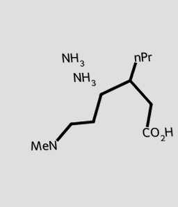 CCCC(CCCNC)CC(=O)O.N.N